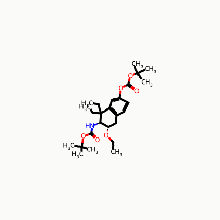 CCO[C@H]1Cc2ccc(OC(=O)OC(C)(C)C)cc2C(CC)(CC)[C@@H]1NC(=O)OC(C)(C)C